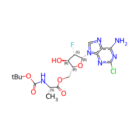 C[C@H](NC(=O)OC(C)(C)C)C(=O)OC[C@H]1O[C@@H](n2cnc3c(N)nc(Cl)nc32)[C@@H](F)[C@@H]1O